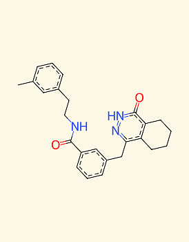 Cc1cccc(CCNC(=O)c2cccc(Cc3n[nH]c(=O)c4c3CCCC4)c2)c1